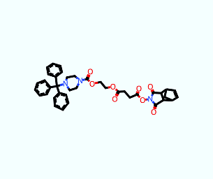 O=C(CCC(=O)ON1C(=O)C2C3C=CC(C3)C2C1=O)OCCOC(=O)N1CCN(C(c2ccccc2)(c2ccccc2)c2ccccc2)CC1